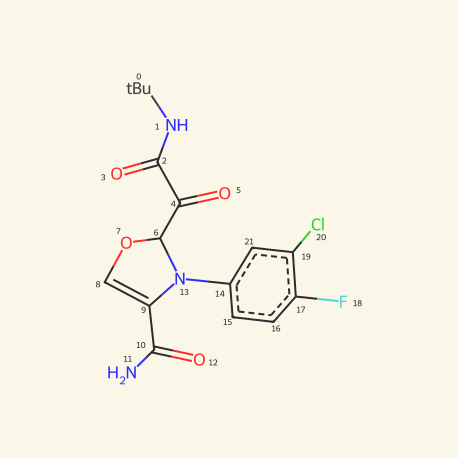 CC(C)(C)NC(=O)C(=O)C1OC=C(C(N)=O)N1c1ccc(F)c(Cl)c1